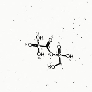 O=C(OP(=O)(O)CO)P(=O)(O)O